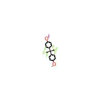 COc1ccc(C(c2ccc(OI)cc2)(C(F)(F)F)C(F)(F)F)cc1